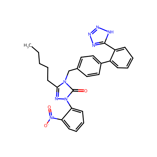 CCCCCc1nn(-c2ccccc2[N+](=O)[O-])c(=O)n1Cc1ccc(-c2ccccc2-c2nnn[nH]2)cc1